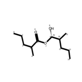 CCCC(C)C(=O)O[C@H](O)C(C)CCC